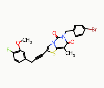 COc1cc(CC#Cc2cn3c(=O)n(Cc4ccc(Br)cc4)c(=O)c(C)c3s2)ccc1F